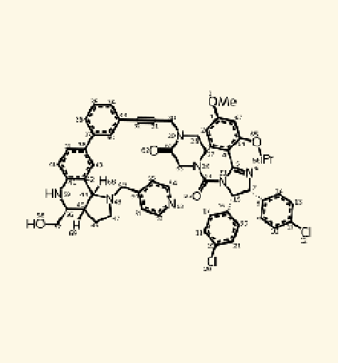 COc1ccc(C2=N[C@H](c3ccc(Cl)cc3)[C@H](c3ccc(Cl)cc3)N2C(=O)N2CCN(CC#Cc3cccc(-c4ccc5c(c4)[C@H]4[C@H](CCN4Cc4ccncc4)[C@@H](CO)N5)c3)C(=O)C2)c(OC(C)C)c1